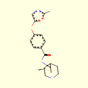 CC(=O)c1ncc(Oc2ccc(C(=O)N[C@H]3CN4CCC3CC4)cc2)o1